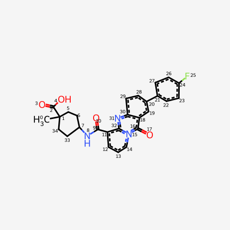 CC1(C(=O)O)CCC(NC(=O)c2cccn3c(=O)c4cc(-c5ccc(F)cc5)ccc4nc23)CC1